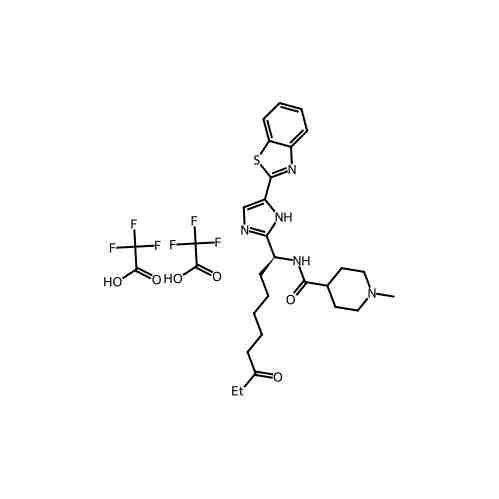 CCC(=O)CCCCC[C@H](NC(=O)C1CCN(C)CC1)c1ncc(-c2nc3ccccc3s2)[nH]1.O=C(O)C(F)(F)F.O=C(O)C(F)(F)F